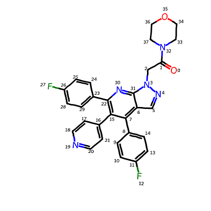 O=C(Cn1ncc2c(-c3ccc(F)cc3)c(-c3ccncc3)c(-c3ccc(F)cc3)nc21)N1CCOCC1